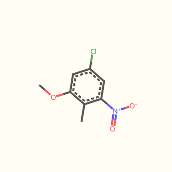 COc1cc(Cl)cc([N+](=O)[O-])c1C